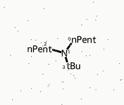 CCCCCN(CCCCC)C(C)(C)C